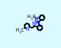 Cc1cccc(C[C@H](N)c2ccccc2-c2nn(C)c3ccccc23)n1